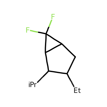 CCC1CC2C(C1C(C)C)C2(F)F